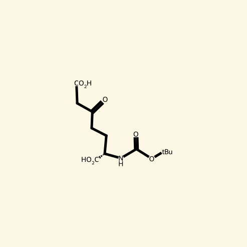 CC(C)(C)OC(=O)N[C@@H](CCC(=O)CC(=O)O)C(=O)O